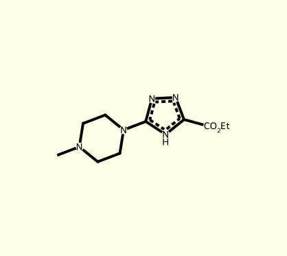 CCOC(=O)c1nnc(N2CCN(C)CC2)[nH]1